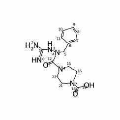 N=C(N)NN(Cc1ccccc1)C(=O)N1CCN(C(=O)O)CC1